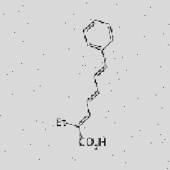 CC/C(=C\C=C\C=Cc1ccccc1)C(=O)O